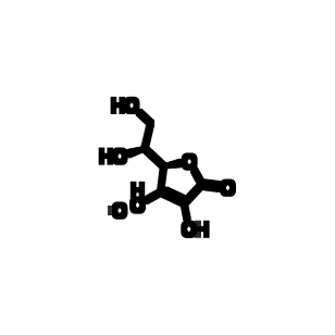 O=C1O[C@H]([C@@H](O)CO)C(O)=C1O.[O]